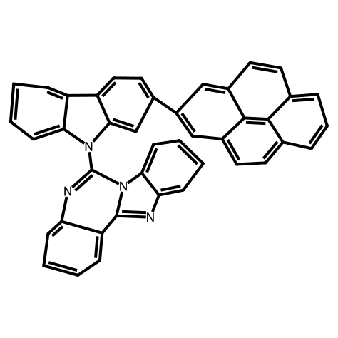 c1cc2ccc3cc(-c4ccc5c6ccccc6n(-c6nc7ccccc7c7nc8ccccc8n67)c5c4)cc4ccc(c1)c2c34